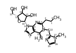 CCCC1=Nc2c(ncn2[C@@H]2O[C@H](CO)C(O)C2O)C(N)N1Sc1nccn1C